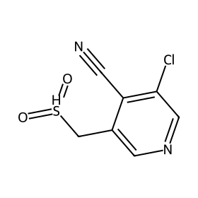 N#Cc1c(Cl)cncc1C[SH](=O)=O